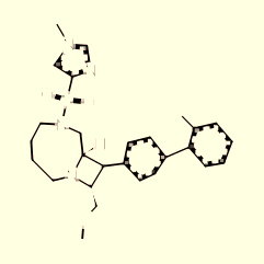 COC[C@@H]1C(c2ccc(-c3ccccc3C)cc2)[C@H]2CN(S(=O)(=O)c3cn(C)cn3)CCCCN12